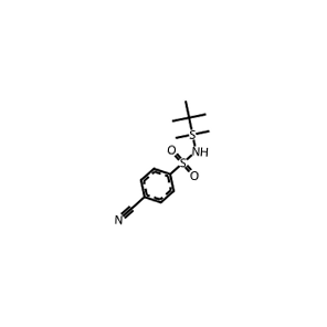 CC(C)(C)S(C)(C)NS(=O)(=O)c1ccc(C#N)cc1